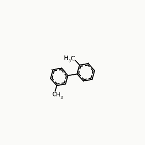 Cc1c[c]cc(-c2ccc[c]c2C)c1